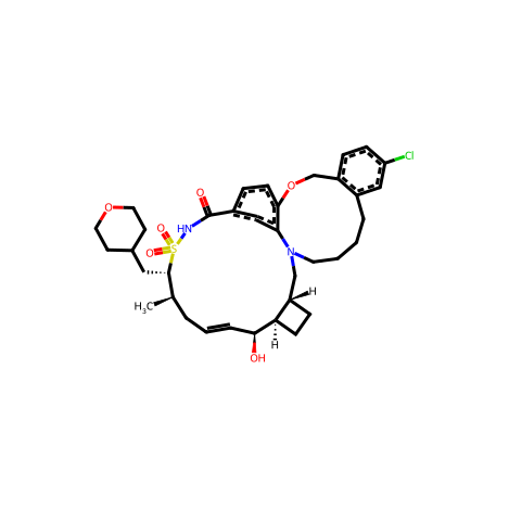 C[C@@H]1C/C=C/[C@H](O)[C@@H]2CC[C@H]2CN2CCCCc3cc(Cl)ccc3COc3ccc(cc32)C(=O)NS(=O)(=O)[C@H]1CC1CCOCC1